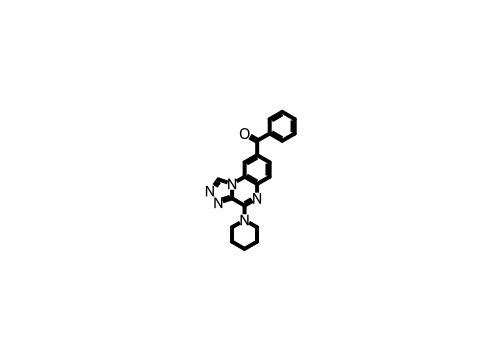 O=C(c1ccccc1)c1ccc2nc(N3CCCCC3)c3nncn3c2c1